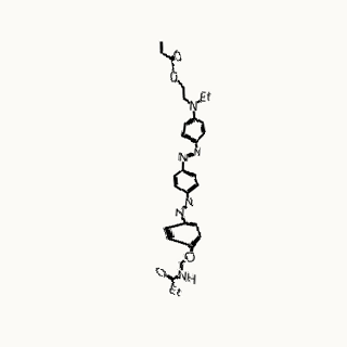 C=CC(=O)OCCN(CC)c1ccc(N=Nc2ccc(N=Nc3ccc(OCNC(=O)CC)cc3)cc2)cc1